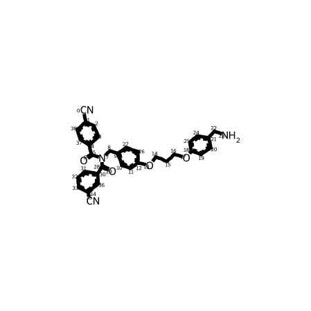 N#Cc1ccc(C(=O)N(Cc2ccc(OCCCOc3ccc(CN)cc3)cc2)C(=O)c2cccc(C#N)c2)cc1